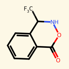 O=C1ONC(C(F)(F)F)c2ccccc21